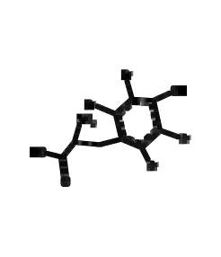 NC(Cc1c(Br)c(Br)c(O)c(Br)c1Br)C(=O)O